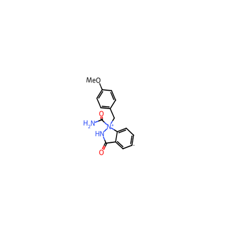 COc1ccc(C[N+]2(C(N)=O)NC(=O)c3c[c]ccc32)cc1